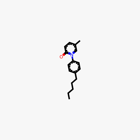 CCCCCc1ccc(-n2cc(C)ccc2=O)cc1